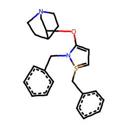 C1=C(OC2CN3CCC2CC3)N(Cc2ccccc2)S(Cc2ccccc2)=C1